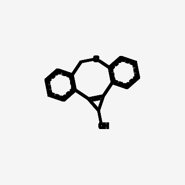 OC1C2=C1c1ccccc1OCc1ccccc12